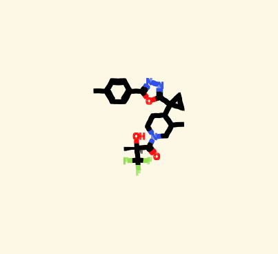 Cc1ccc(-c2nnc(C3(C4CCN(C(=O)[C@@](C)(O)C(F)(F)F)CC4C)CC3)o2)cc1